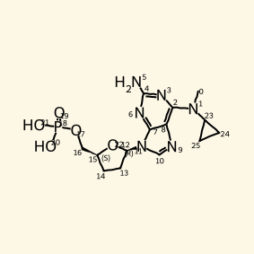 CN(c1nc(N)nc2c1ncn2[C@H]1CC[C@@H](COP(=O)(O)O)O1)C1CC1